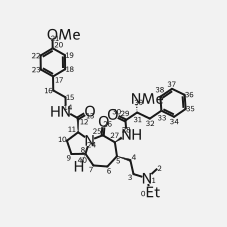 CCN(C)CC[C@H]1CC[C@H]2CC[C@@H](C(=O)NCCc3ccc(OC)cc3)N2C(=O)[C@H]1NC(=O)[C@@H](Cc1ccccc1)NC